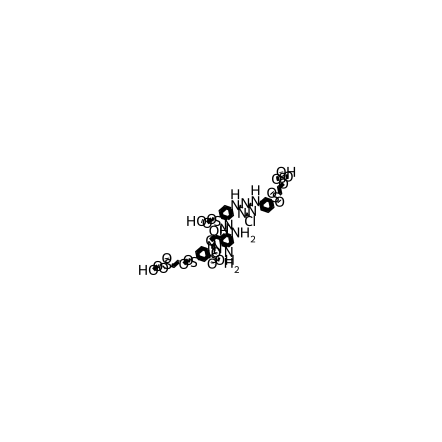 Nc1cc(N)c(N=Nc2ccc(SOOCCS(=O)OOO)cc2S(=O)(=O)O)c(C(=O)O)c1N=Nc1cc(Nc2nc(Cl)nc(Nc3cccc(S(=O)(=O)CCOS(=O)(=O)O)c3)n2)ccc1SOOO